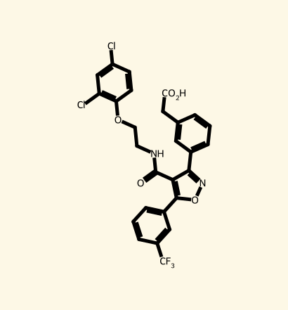 O=C(O)Cc1cccc(-c2noc(-c3cccc(C(F)(F)F)c3)c2C(=O)NCCOc2ccc(Cl)cc2Cl)c1